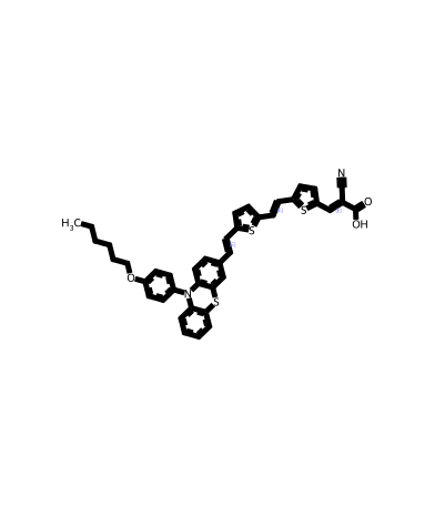 CCCCCCOc1ccc(N2c3ccccc3Sc3cc(/C=C/c4ccc(/C=C/c5ccc(/C=C(\C#N)C(=O)O)s5)s4)ccc32)cc1